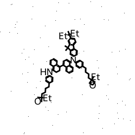 CCC1(CCCCc2ccc(NC3=c4ccccc4=C(c4ccc(N(c5ccc(CCCCC6(CC)COC6)cc5)c5ccc6c(c5)C(C)(C)c5cc(C(C)(CC)CC)ccc5-6)c5ccccc45)CC3)cc2)COC1